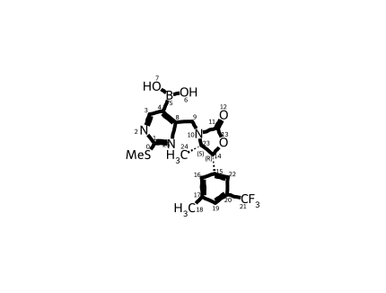 CSc1ncc(B(O)O)c(CN2C(=O)O[C@H](c3cc(C)cc(C(F)(F)F)c3)[C@@H]2C)n1